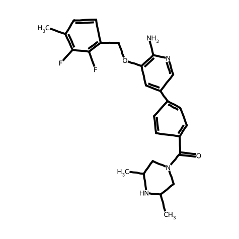 Cc1ccc(COc2cc(-c3ccc(C(=O)N4CC(C)NC(C)C4)cc3)cnc2N)c(F)c1F